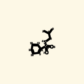 CC(C)CSS(=O)(=O)c1ccccc1